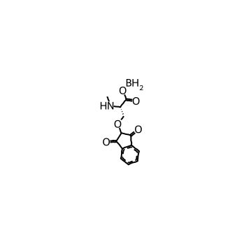 BOC(=O)[C@H](COC1C(=O)c2ccccc2C1=O)NC